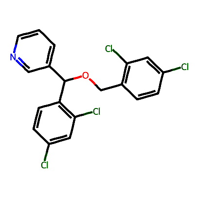 Clc1ccc(COC(c2cccnc2)c2ccc(Cl)cc2Cl)c(Cl)c1